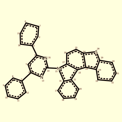 c1ccc(-c2cc(-c3ccccc3)nc(-n3c4ccccc4c4c5c(ccc43)sc3ccccc35)n2)cc1